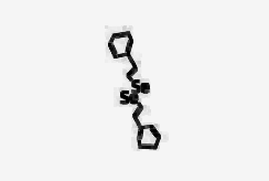 C(=Cc1ccccc1)[Se][Se]C=Cc1ccccc1